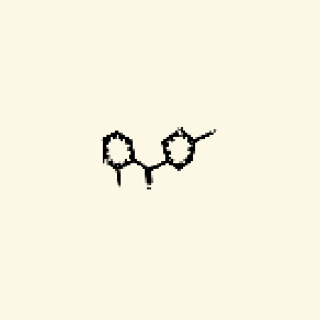 O=C(c1ccc(F)nc1)c1cccnc1F